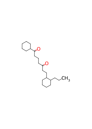 CCCC1CCCCC1CCC(=O)CCCC(=O)C1CCCCC1